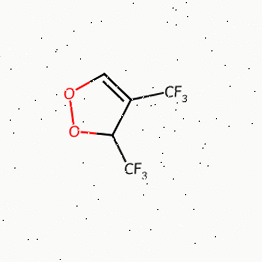 FC(F)(F)C1=COOC1C(F)(F)F